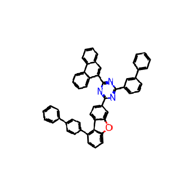 c1ccc(-c2ccc(-c3cccc4oc5cc(-c6nc(-c7cccc(-c8ccccc8)c7)nc(-c7cc8ccccc8c8ccccc78)n6)ccc5c34)cc2)cc1